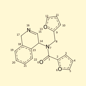 O=C(c1ccco1)N(Cc1ccco1)C1C=NCc2ccccc21